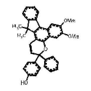 COc1cc2c3c(c4c(c2cc1OC)-c1ccccc1C4(C)C)C=CC(c1ccccc1)(c1ccc(O)cc1)O3